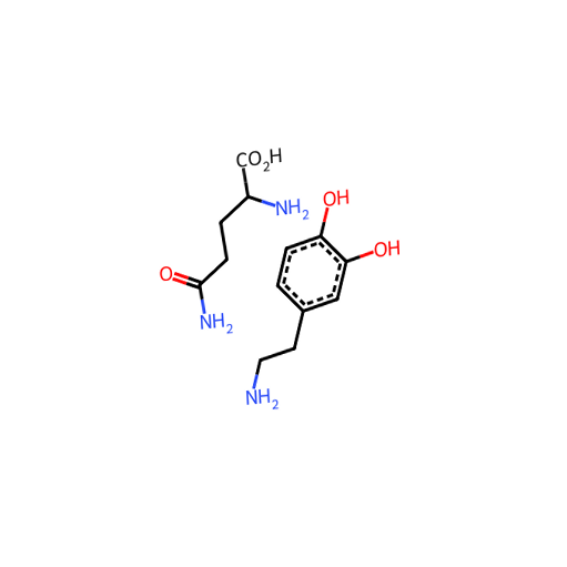 NC(=O)CCC(N)C(=O)O.NCCc1ccc(O)c(O)c1